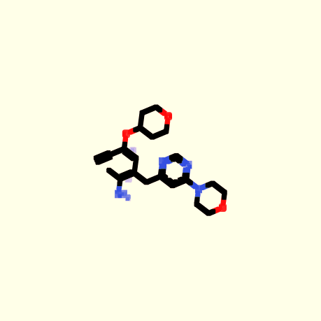 C#C/C(=C\C(Cc1cc(N2CCOCC2)ncn1)=C(/C)N)OC1CCOCC1